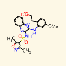 COc1ccc(CCO)c(Nc2nc3ccccc3nc2NS(=O)(=O)c2c(C)noc2C)c1